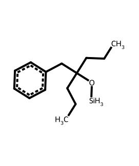 CCCC(CCC)(Cc1ccccc1)O[SiH3]